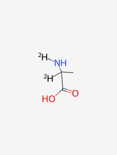 [2H]NC([2H])(C)C(=O)O